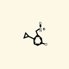 O=[SH](=O)Cc1cc(Cl)ccc1C1[CH]C1